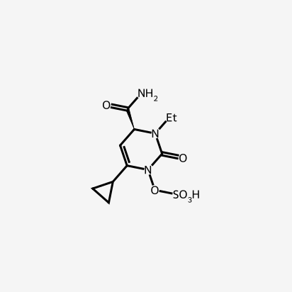 CCN1C(=O)N(OS(=O)(=O)O)C(C2CC2)=C[C@H]1C(N)=O